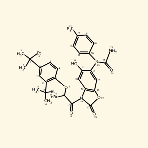 CCCCC(Oc1ccc(C(C)(C)CC)cc1C(C)(C)CC)C(=O)n1c(=O)oc2cc(N(C(N)=O)c3ccc(C(F)(F)F)cc3)c(O)cc21